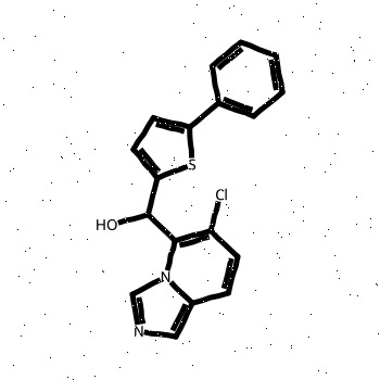 OC(c1ccc(-c2ccccc2)s1)c1c(Cl)ccc2cncn12